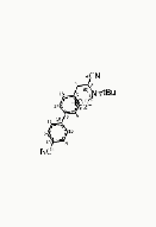 CC(C)(C)N(C(=O)O)[C@H](C#N)Cc1ccc(-c2ccc(C#N)cc2)cc1